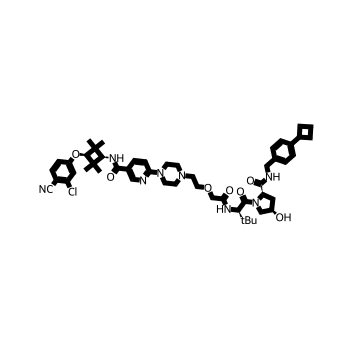 CC(C)(C)[C@H](NC(=O)COCCN1CCN(c2ccc(C(=O)N[C@H]3C(C)(C)[C@H](Oc4ccc(C#N)c(Cl)c4)C3(C)C)cn2)CC1)C(=O)N1C[C@H](O)C[C@H]1C(=O)NCc1ccc(C2CCC2)cc1